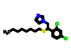 CCCCCCCCSC(Cn1ccnc1)c1ccc(Cl)cc1Cl